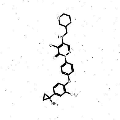 Cc1cc(C2(N)CC2)ccc1Oc1ccc(-n2ncc(NCC3CCCOC3)c(Cl)c2=O)cc1